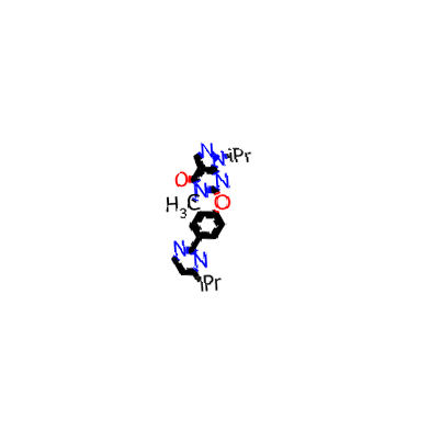 CC(C)c1ccnc(-c2ccc(Oc3nc4c(cnn4C(C)C)c(=O)n3C)cc2)n1